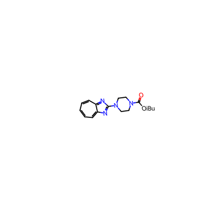 CC(C)COC(=O)N1CCN(c2nc3cccccc-3n2)CC1